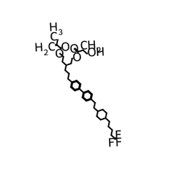 C=C(CC)C(=O)OCCC(CCCc1ccc(-c2ccc(CCC3CCC(CCCCC(F)(F)F)CC3)cc2)cc1)CCOC(=O)C(=C)CO